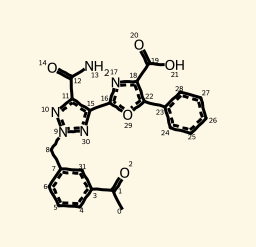 CC(=O)c1cccc(Cn2nc(C(N)=O)c(-c3nc(C(=O)O)c(-c4ccccc4)o3)n2)c1